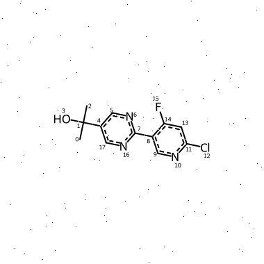 CC(C)(O)c1cnc(-c2cnc(Cl)cc2F)nc1